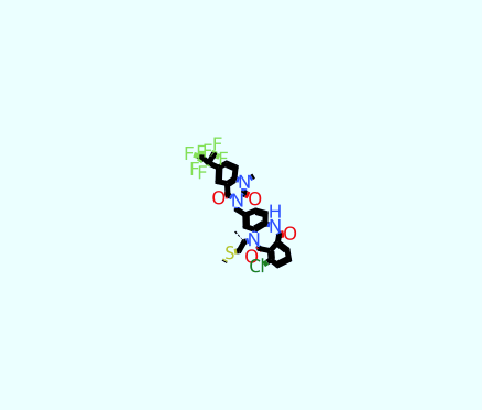 CSC[C@H](C)N1C(=O)c2c(Cl)cccc2C(=O)Nc2ccc(Cn3c(=O)c4cc(C(F)(C(F)(F)F)C(F)(F)F)ccc4n(C)c3=O)cc21